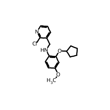 COc1ccc(NCc2cccnc2Cl)c(OC2CCCC2)c1